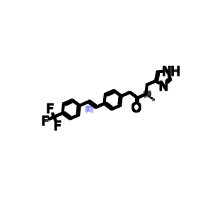 C[C@@H](Cc1c[nH]cn1)C(=O)Cc1ccc(/C=C/c2ccc(C(F)(F)F)cc2)cc1